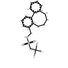 O=S(=O)(CC(F)(F)F)OCc1cccc2c1CCCCc1ccccc1-2